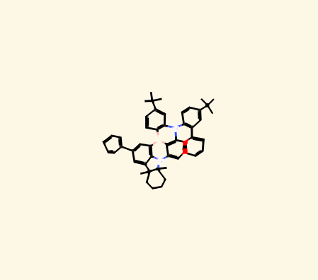 Cc1cc2c3c(c1)N1c4c(cc(-c5ccccc5)cc4C4(C)CCCCC14C)B3c1ccc(C(C)(C)C)cc1N2c1ccc(C(C)(C)C)cc1-c1ccccc1